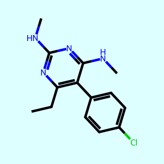 CCc1nc(NC)nc(NC)c1-c1ccc(Cl)cc1